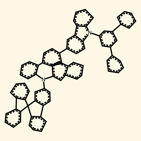 c1ccc(-c2cc(-c3ccccc3)cc(-n3c4ccccc4c4cc(-c5ccc(-c6ccccc6N(c6ccc7c(c6)C6(c8ccccc8-c8ccccc86)c6ccccc6-7)c6ccc7ccccc7c6)cc5)ccc43)c2)cc1